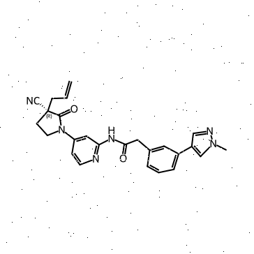 C=CC[C@]1(C#N)CCN(c2ccnc(NC(=O)Cc3cccc(-c4cnn(C)c4)c3)c2)C1=O